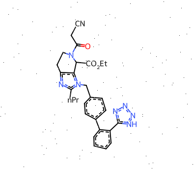 CCCc1nc2c(n1Cc1ccc(-c3ccccc3-c3nnn[nH]3)cc1)C(C(=O)OCC)N(C(=O)CC#N)CC2